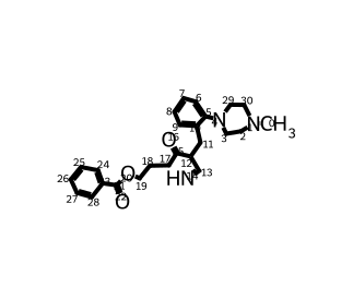 CN1CCN(c2ccccc2CC(C=N)C(=O)CCCOC(=O)c2ccccc2)CC1